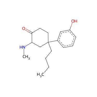 CCCCC1(c2cccc(O)c2)CCC(=O)C(NC)C1